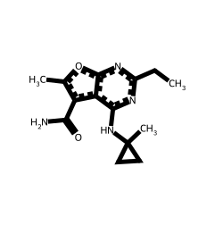 CCc1nc(NC2(C)CC2)c2c(C(N)=O)c(C)oc2n1